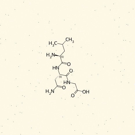 CC(C)C[C@H](N)C(=O)N[C@@H](CC(N)=O)C(=O)NCC(=O)O